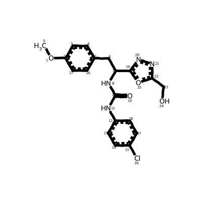 COc1ccc(CC(NC(=O)Nc2ccc(Cl)cc2)c2nnc(CO)o2)cc1